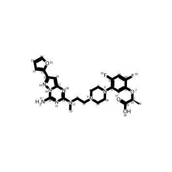 C[C@H](Oc1cc(N2CCN(CCN(C)c3nc(N)n4nc(-c5ccco5)cc4n3)CC2)c(F)cc1F)C(=O)O